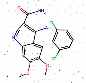 COc1cc2ncc(C(N)=O)c(N)c2cc1OC.Clc1cccc(Cl)c1